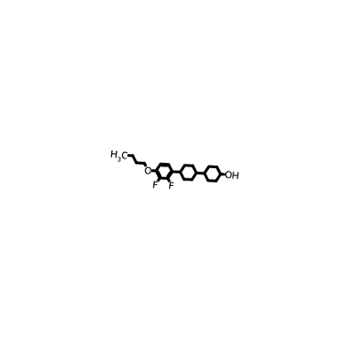 CCCCOc1ccc(C2CCC(C3CCC(O)CC3)CC2)c(F)c1F